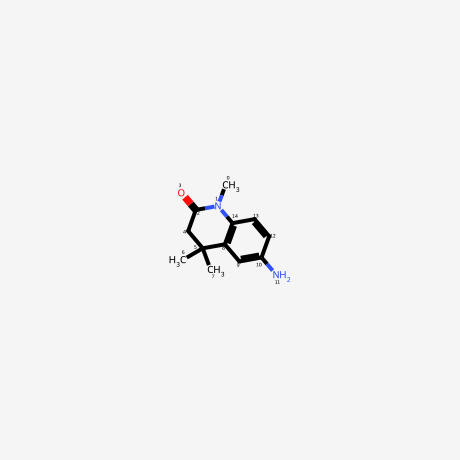 CN1C(=O)CC(C)(C)c2cc(N)ccc21